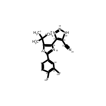 CC(C)(C)c1oc(-c2ccc(F)c(F)c2)nc1-c1nn[nH]c1C#N